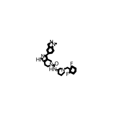 Cn1ncc2cc(-c3n[nH]c4c3CN(C(=O)N[C@@H]3CCCN(Cc5c(F)cccc5F)C3)CC4)ccc21